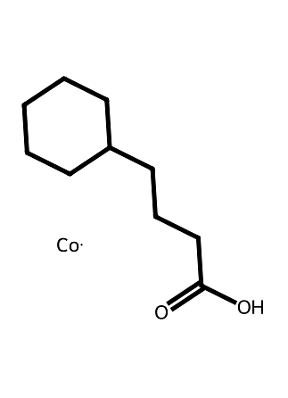 O=C(O)CCCC1CCCCC1.[Co]